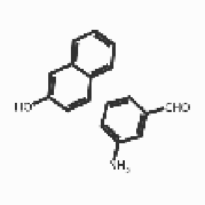 Nc1cccc(C=O)c1.Oc1ccc2ccccc2c1